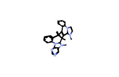 CN1C=CN2c3ccccc3C3=C(C12)C1(C)C2N(C)c4cncnc4N2c2ccccc2C31C